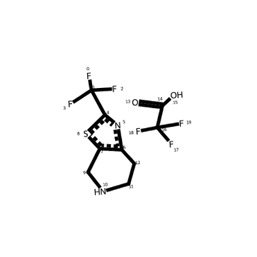 FC(F)(F)c1nc2c(s1)CNCC2.O=C(O)C(F)(F)F